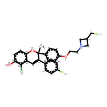 CC1(c2ccc(OCCN3CC(CF)C3)cc2)Oc2ccc(O)c(Cl)c2C=C1c1ccc(F)cc1